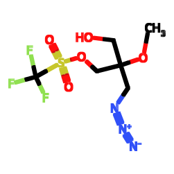 COC(CO)(CN=[N+]=[N-])COS(=O)(=O)C(F)(F)F